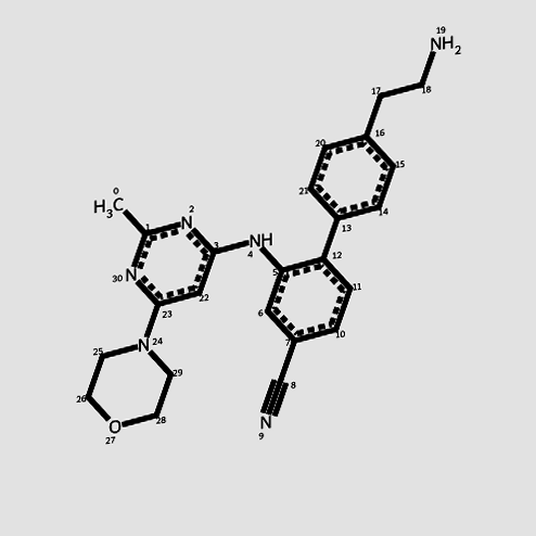 Cc1nc(Nc2cc(C#N)ccc2-c2ccc(CCN)cc2)cc(N2CCOCC2)n1